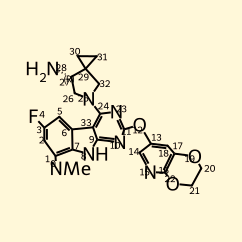 CNc1cc(F)cc2c1[nH]c1nc(Oc3cnc4c(c3)OCCO4)nc(N3C[C@H](N)C4(CC4)C3)c12